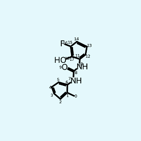 Cc1ccccc1NC(=O)Nc1cccc(F)c1O